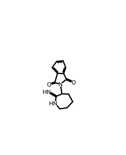 N=C1NCCCCC1N1C(=O)c2ccccc2C1=O